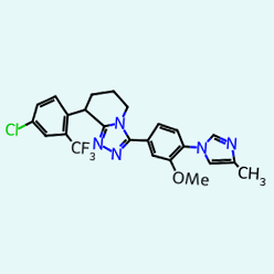 COc1cc(-c2nnc3n2CCCC3c2ccc(Cl)cc2C(F)(F)F)ccc1-n1cnc(C)c1